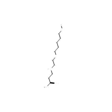 CC(C)OCCCCCOCCOCCC(=O)C(C)C